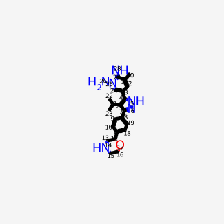 Cc1cc(-c2[nH]nc(-c3ccc(C4CNCCO4)cc3)c2C(C)C)cn(N)c1=N